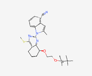 CSc1nc(-n2c(C)cc3c(C#N)cccc32)nc2c1CCC[C@@H]2OCCO[Si](C)(C)C(C)(C)C